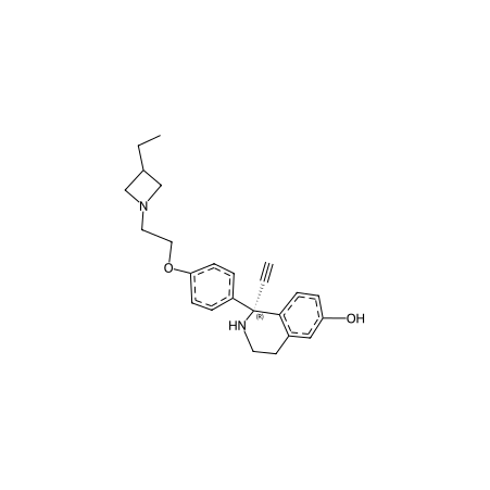 C#C[C@@]1(c2ccc(OCCN3CC(CC)C3)cc2)NCCc2cc(O)ccc21